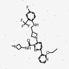 CCOc1ncccc1-c1ccc(N2CC(CNc3ccc(F)cc3C(F)(F)F)C2)c(C(=O)NC2CN(C)C2)n1